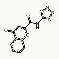 O=C(Nc1nnn[nH]1)c1cc(=O)c2ccccc2o1